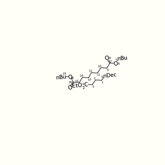 CCCCCCCCCCCCCC(=O)OCC.CCCCOC(=O)CCCCCCCC(=O)OCCCC